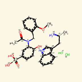 COc1ccccc1CN(C(C)=O)c1cc([As](=O)(O)O)ccc1O.C[C@@H](N)Cc1c[nH]c2ccccc12.Cl.Cl